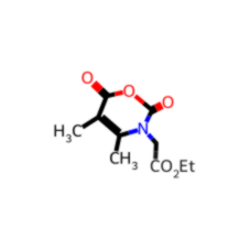 CCOC(=O)Cn1c(C)c(C)c(=O)oc1=O